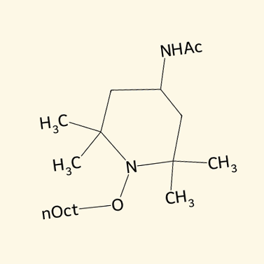 CCCCCCCCON1C(C)(C)CC(NC(C)=O)CC1(C)C